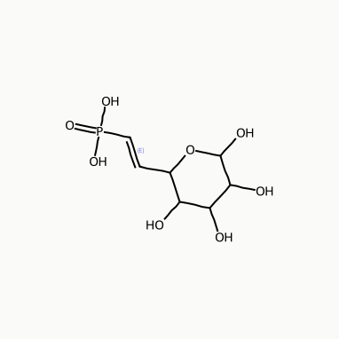 O=P(O)(O)/C=C/C1OC(O)C(O)C(O)C1O